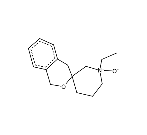 CC[N+]1([O-])CCCC2(Cc3ccccc3CO2)C1